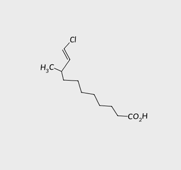 CC(C=CCl)CCCCCCCC(=O)O